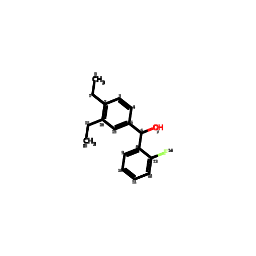 CCc1ccc(C(O)c2ccccc2F)cc1CC